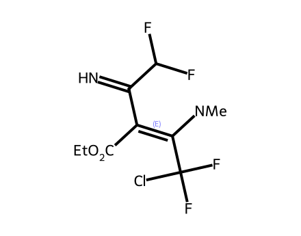 CCOC(=O)/C(C(=N)C(F)F)=C(/NC)C(F)(F)Cl